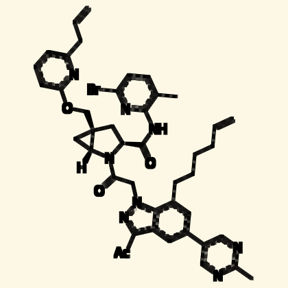 C=CCCCCc1cc(-c2cnc(C)nc2)cc2c(C(C)=O)nn(CC(=O)N3[C@H](C(=O)Nc4nc(Br)ccc4C)C[C@@]4(COc5cccc(CC=C)n5)C[C@@H]34)c12